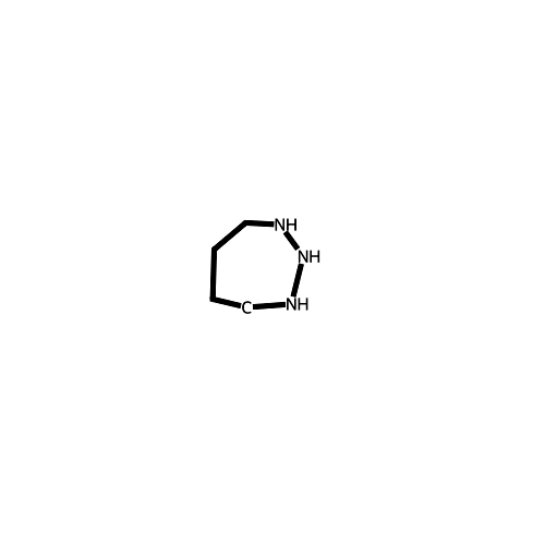 C1CCNNNC1